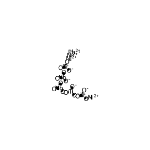 [Ni+2].[Ni+2].[Ni+2].[O]=[Nb](=[O])[O-].[O]=[Nb](=[O])[O-].[O]=[Ti]([O-])[O-].[O]=[Zr]([O-])[O-].[O]=[Zr]([O-])[O-].[Pb+2]